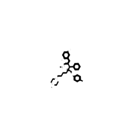 COc1nc2ccc(Br)cc2cc1C(c1ccccc1)C(O)(CCCCN1CCN(C)CC1)COc1ccc(C)cc1